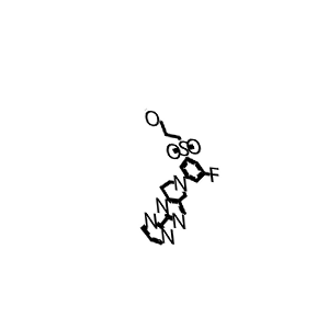 COCCCS(=O)(=O)c1cc(F)cc(N2CCc3nc(-c4ncccn4)ncc3C2)c1